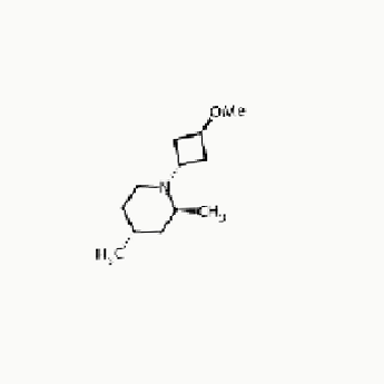 CO[C@H]1C[C@H](N2CC[C@@H](C)C[C@@H]2C)C1